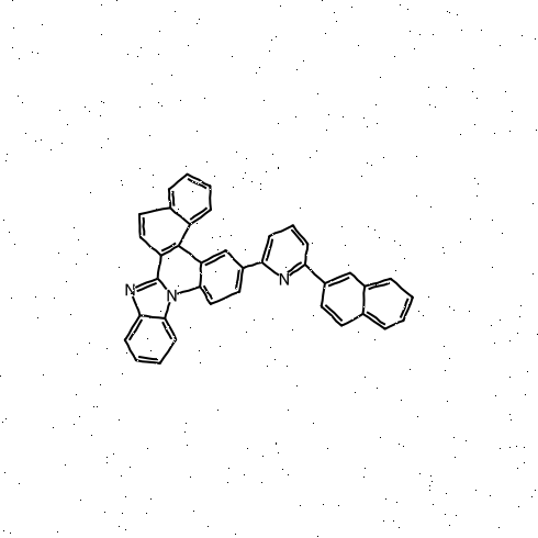 c1cc(-c2ccc3ccccc3c2)nc(-c2ccc3c(c2)c2c4ccccc4ccc2c2nc4ccccc4n32)c1